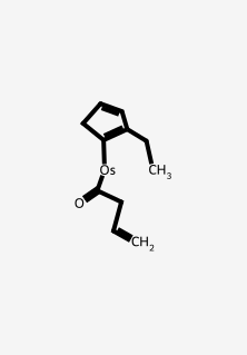 C=CC[C](=O)[Os][C]1=C(CC)C=CC1